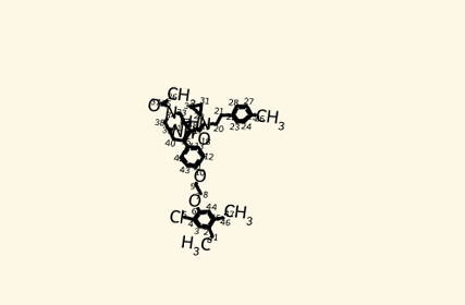 CCc1cc(Cl)c(OCCOc2ccc(C3=C(C(=O)N(CCc4ccc(C)cc4)C4CC4)[C@H]4CN(C(C)=O)CC(C3)N4)cc2)cc1CC